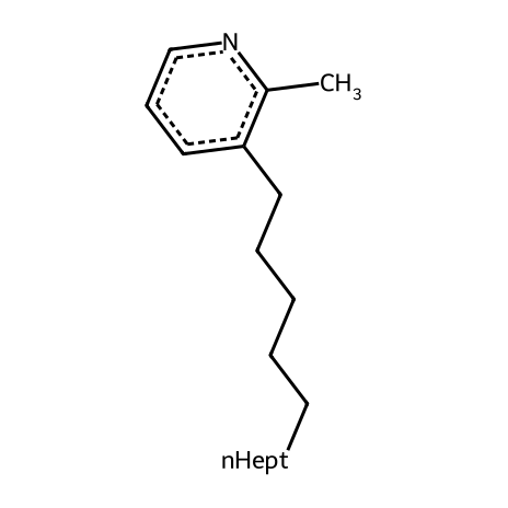 CCCCCCCCCCCCc1cccnc1C